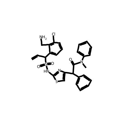 C=CC(c1cccc(Cl)c1CN)S(=O)(=O)Nc1nc(C(C(=O)N(C)c2ccccc2)c2ccccc2)cs1